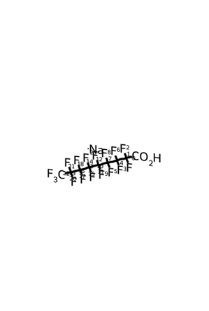 O=C(O)C(F)(F)C(F)(F)C(F)(F)C(F)(F)C(F)(F)C(F)(F)C(F)(F)C(F)(F)F.[Na]